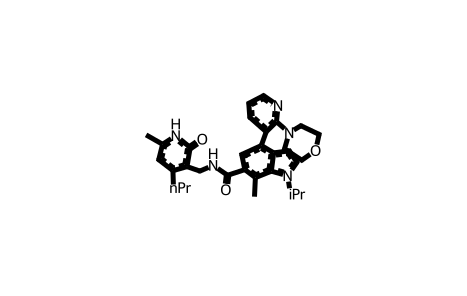 CCCc1cc(C)[nH]c(=O)c1CNC(=O)c1cc(-c2cccnc2N2CCOCC2)c2ccn(C(C)C)c2c1C